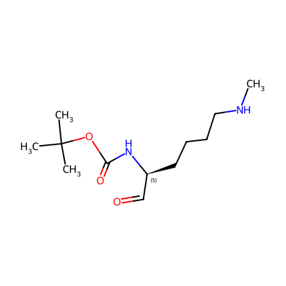 CNCCCC[C@@H](C=O)NC(=O)OC(C)(C)C